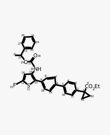 CCOC(=O)C1(c2ccc(-c3ccc(-c4sc(F)cc4NC(=O)OC(C)c4ccccc4)cc3)cc2)CC1